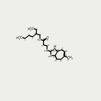 CCCCC(CC)COC(=O)CCSC1NC2CC=C(C)CCC2S1